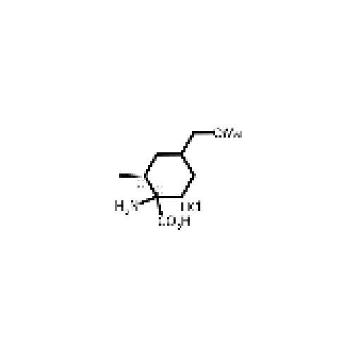 COCC1CC[C@@](N)(C(=O)O)[C@@H](C)C1.Cl